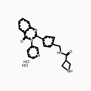 Cl.Cl.O=C(NCc1ccc(-c2nc3ccccc3c(=O)n2-c2cccnc2)cc1)C1CNC1